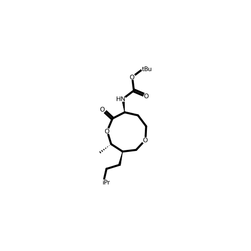 CC(C)CC[C@@H]1COCC[C@H](NC(=O)OC(C)(C)C)C(=O)O[C@H]1C